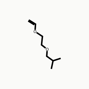 C=COCCOCC(C)C